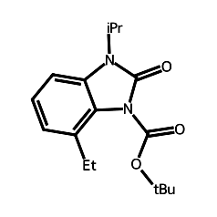 CCc1cccc2c1n(C(=O)OC(C)(C)C)c(=O)n2C(C)C